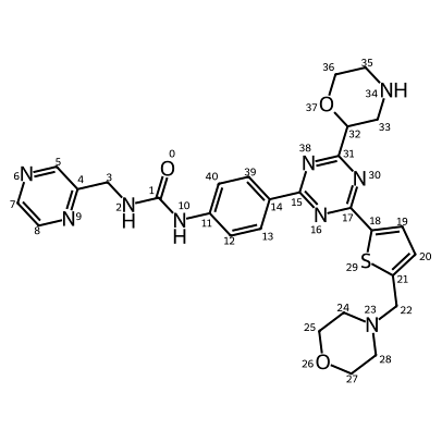 O=C(NCc1cnccn1)Nc1ccc(-c2nc(-c3ccc(CN4CCOCC4)s3)nc(C3CNCCO3)n2)cc1